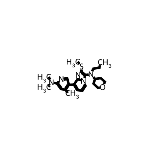 CCCN(c1c(SC)nc2c(-c3cnc(N(C)C)cc3C)cccn12)C1CCOCC1